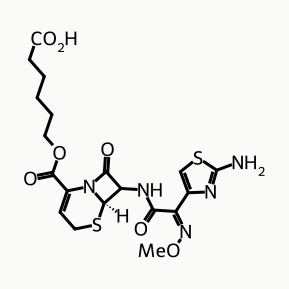 CO/N=C(\C(=O)NC1C(=O)N2C(C(=O)OCCCCCC(=O)O)=CCS[C@H]12)c1csc(N)n1